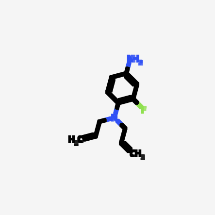 C=CCN(CC=C)c1ccc(N)cc1F